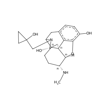 CN[C@@H]1CC[C@@]2(O)C3Cc4ccc(O)c5c4[C@@]2(CCN3CC2(O)CC2)[C@H]1O5